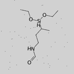 CCO[SiH](OCC)C(C)CCNC=O